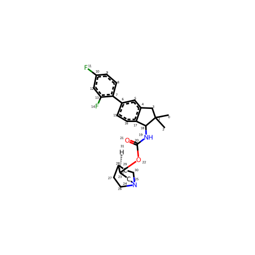 CC1(C)Cc2cc(-c3ccc(F)cc3F)ccc2C1NC(=O)O[C@H]1CN2CCC1CC2